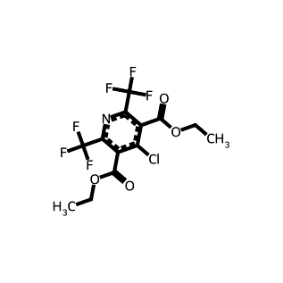 CCOC(=O)c1c(C(F)(F)F)nc(C(F)(F)F)c(C(=O)OCC)c1Cl